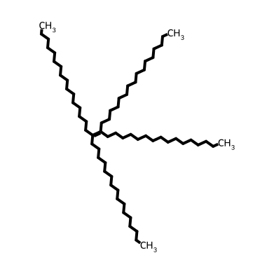 CCCCCCCCCCCCCCCCC(CCCCCCCCCCCCCCCC)=C(CCCCCCCCCCCCCCCC)CCCCCCCCCCCCCCCC